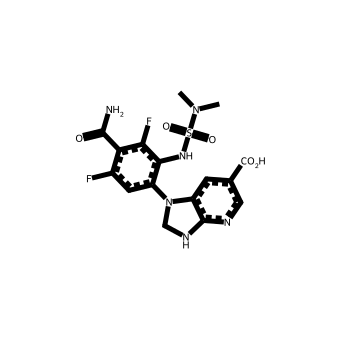 CN(C)S(=O)(=O)Nc1c(N2CNc3ncc(C(=O)O)cc32)cc(F)c(C(N)=O)c1F